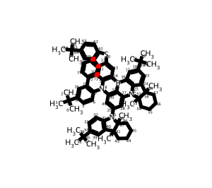 CC(C)(C)c1ccc(N2c3cc4c(cc3B3c5cc(C(C)(C)C)cc6c5N(c5cc(N7c8ccc(C(C)(C)C)cc8C8(C)CCCCC78C)cc2c53)C2(C)CCCCC62C)sc2ccc(C(C)(C)C)cc24)c(-c2ccccc2)c1